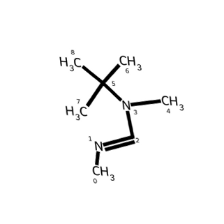 C/N=C/N(C)C(C)(C)C